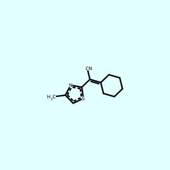 Cc1csc(C(C#N)=C2CCCCC2)n1